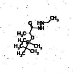 CCNNC(=O)[C@@H](C)O[Si](C)(C)C(C)(C)C